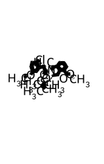 CCOc1ccc(Cl)c(CC(=O)N2[C@@H](CO[Si](C)(C)C(C)(C)C)Cc3c(C(=O)OC)cccc3[C@@H]2C)c1